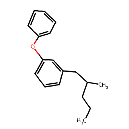 CCCC(C)Cc1cccc(Oc2ccccc2)c1